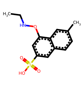 CCNOc1cc(S(=O)(=O)O)cc2ccc(C)cc12